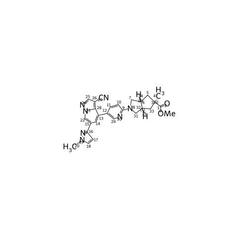 COC(=O)[C@]1(C)C[C@H]2CN(c3ccc(-c4cc(-c5ccn(C)n5)cn5ncc(C#N)c45)cn3)C[C@H]2C1